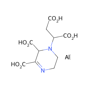 O=C(O)CC(C(=O)O)N1CCN=C(C(=O)O)C1C(=O)O.[Al]